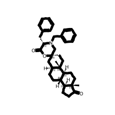 C[C@]12CC[C@@]3(C[C@@H]1CC[C@@H]1[C@@H]2CC[C@]2(C)C(=O)CC[C@@H]12)CN(Cc1ccccc1)[C@@H](Cc1ccccc1)C(=O)O3